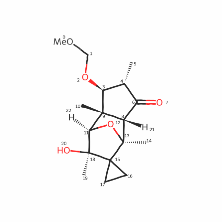 COCO[C@H]1[C@H](C)C(=O)[C@H]2[C@]1(C)[C@H]1O[C@]2(C)C2(CC2)[C@@]1(C)O